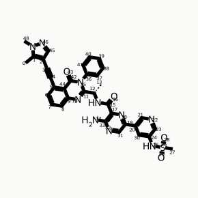 Cc1c(C#Cc2cccc3nc([C@H](C)NC(=O)c4nc(-c5cncc(NS(C)(=O)=O)c5)cnc4N)n(-c4ccccc4)c(=O)c23)cnn1C